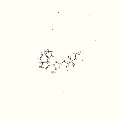 CCC1CC(CNS(=O)(=O)CCC(F)(F)F)CC1c1cnc2cnc3[nH]ccc3n12